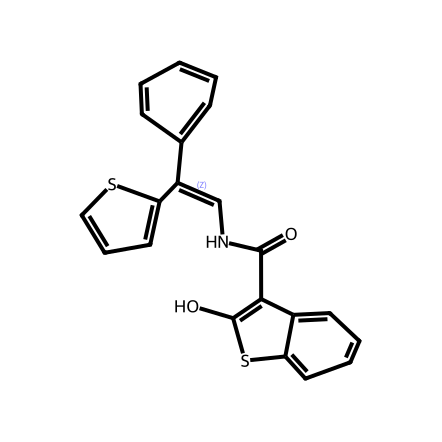 O=C(N/C=C(/c1ccccc1)c1cccs1)c1c(O)sc2ccccc12